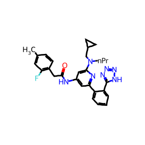 CCCN(CC1CC1)c1cc(NC(=O)Cc2ccc(C)cc2F)cc(-c2ccccc2-c2nnn[nH]2)n1